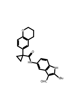 CC(C)(C)c1[nH]c2ccc(NC(=O)C3(c4ccc5c(c4)CCCO5)CC3)cc2c1C=O